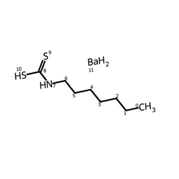 CCCCCCCNC(=S)S.[BaH2]